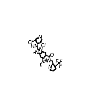 CCOc1cc2c(cc1C(=O)NCc1ncccc1C(F)(F)F)nc(Nc1c(Cl)cncc1Cl)n2C